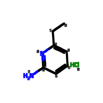 CCc1cccc(N)n1.Cl